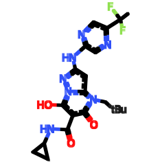 CC(C)(C)Cn1c(=O)c(C(=O)NC2CC2)c(O)n2nc(Nc3cnc(C(C)(F)F)cn3)cc12